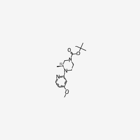 COc1ccnc(N2CCN(C(=O)OC(C)(C)C)C[C@@H]2C)c1